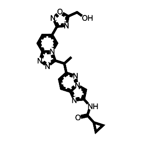 CC(c1ccc2nc(NC(=O)C3CC3)cn2n1)c1nnc2ccc(-c3noc(CO)n3)cn12